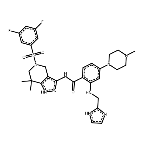 CN1CCN(c2ccc(C(=O)Nc3n[nH]c4c3CN(S(=O)(=O)c3cc(F)cc(F)c3)CC4(C)C)c(NCc3ncc[nH]3)c2)CC1